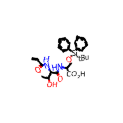 C=CC(=O)NC(C(=O)NC(CO[Si](c1ccccc1)(c1ccccc1)C(C)(C)C)C(=O)O)C(C)O